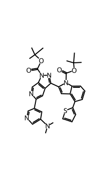 CN(C)c1cncc(-c2cc3c(-c4cc5c(-c6cccs6)cccc5n4C(=O)OC(C)(C)C)nn(C(=O)OC(C)(C)C)c3cn2)c1